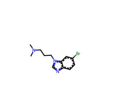 CN(C)CCCn1cnc2ccc(Br)cc21